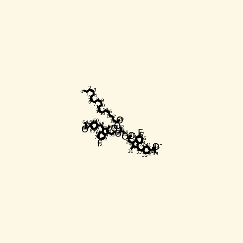 CC/C=C\C/C=C\C/C=C\C/C=C\C/C=C\CCCC(=O)OCC(COC(=O)CC1=C(C)/C(=C/c2ccc([S+](C)[O-])cc2)c2ccc(F)cc21)OC(=O)CC1=C(C)/C(=C/c2ccc([S+](C)[O-])cc2)c2ccc(F)cc21